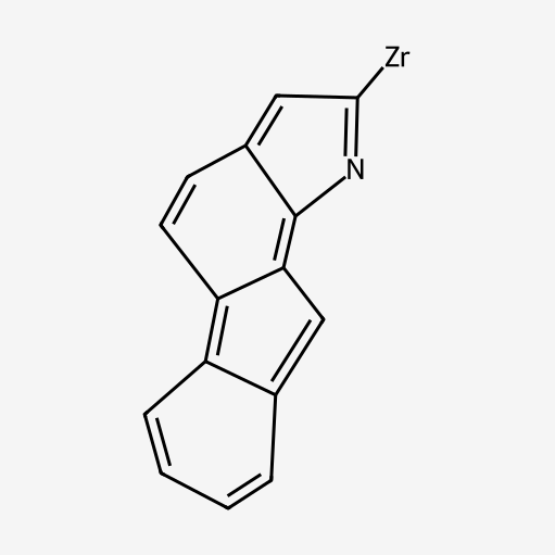 [Zr][C]1=Nc2c3c(ccc2=C1)=c1ccccc1=C3